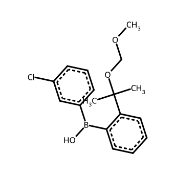 COCOC(C)(C)c1ccccc1B(O)c1cccc(Cl)c1